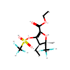 CCOC(=O)C1=C(OS(=O)(=O)C(F)(F)F)[C@H](CC)[C@](C)(C(F)(F)F)O1